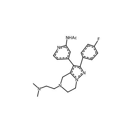 CC(=O)Nc1cc(-c2c(-c3ccc(F)cc3)nn3c2CN(CCN(C)C)CC3)ccn1